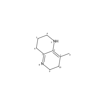 CC1=C2NCCCC2=NCC1